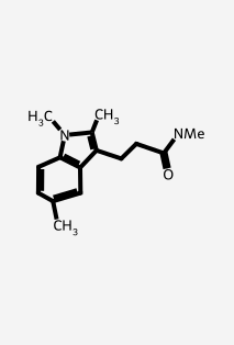 CNC(=O)CCc1c(C)n(C)c2ccc(C)cc12